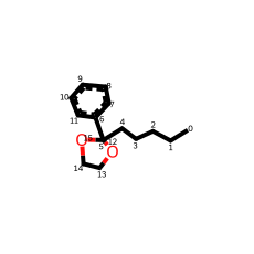 CCCCCC1(c2ccccc2)OCCO1